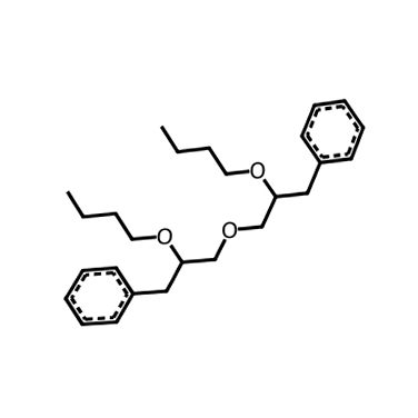 CCCCOC(COCC(Cc1ccccc1)OCCCC)Cc1ccccc1